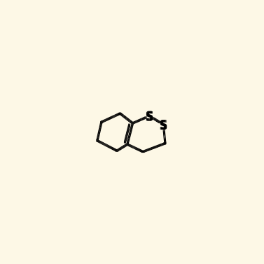 C1CCC2=C(C1)CCSS2